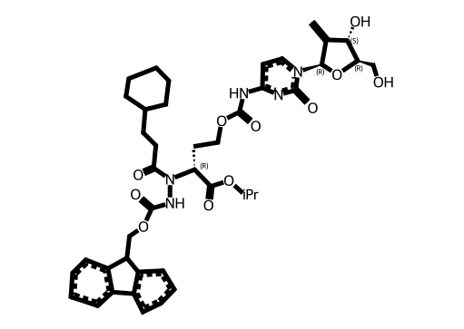 C=C1[C@H](n2ccc(NC(=O)OCC[C@H](C(=O)OC(C)C)N(NC(=O)OCC3c4ccccc4-c4ccccc43)C(=O)CCC3CCCCC3)nc2=O)O[C@H](CO)[C@H]1O